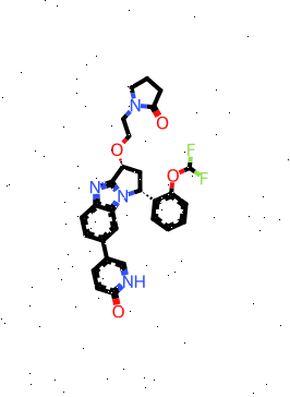 O=C1CCCN1CCO[C@@H]1C[C@H](c2ccccc2OC(F)F)n2c1nc1ccc(-c3ccc(=O)[nH]c3)cc12